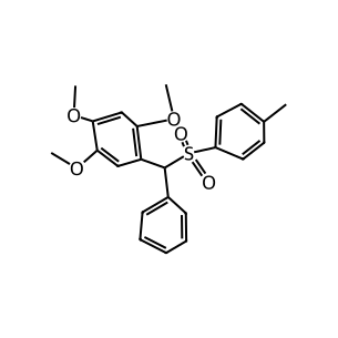 COc1cc(OC)c(C(c2ccccc2)S(=O)(=O)c2ccc(C)cc2)cc1OC